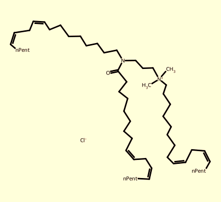 CCCCC/C=C\C/C=C\CCCCCCCCN(CCC[N+](C)(C)CCCCCCCC/C=C\C/C=C\CCCCC)C(=O)CCCCCCC/C=C\C/C=C\CCCCC.[Cl-]